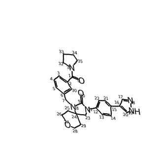 O=C(c1cccc(CN2C(=O)N(c3ccc(-c4cn[nH]c4)cc3)CC23CCOCC3)c1)N1CCCC1